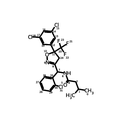 CC(C)CC(=O)NC(C1=NOC(c2cc(Cl)cc(Cl)c2)(C(F)(F)F)C1)c1ccccc1Cl